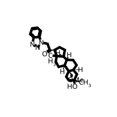 COC[C@]12CC[C@@](C)(O)C[C@@H]1CC[C@H]1[C@@H]3CC[C@H](C(=O)Cn4nnc5ccccc54)C3(C)CC[C@@H]12